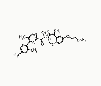 COCCOc1ccc2c(c1)N(C)C(=O)[C@@H](N(C)C(=O)c1ncc(C)c(-c3ccc(C)cc3C)n1)CO2